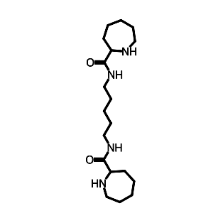 O=C(NCCCCCNC(=O)C1CCCCCN1)C1CCCCCN1